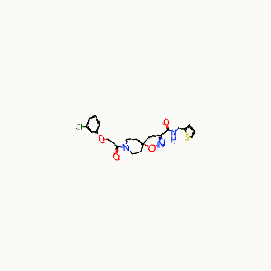 O=C(NCc1cccs1)C1=NOC2(CCN(C(=O)COc3cccc(Cl)c3)CC2)C1